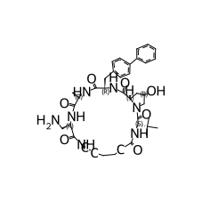 C[C@H]1NC(=O)[C@@H](Cc2ccc(-c3ccccc3)cc2)NC(=O)[C@@H]2C[C@@H](O)CN2C(=O)[C@H](C(C)(C)C)NC(=O)CCCCCNC(=O)[C@@H](CN)NC1=O